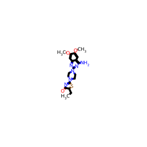 CCC1SC(N2CCN(c3nc(N)c4cc(OC)c(OC)cc4n3)CC2)=NC1=O